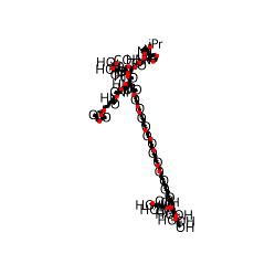 CC(C)Cn1cnc2c(NC(=O)OCc3ccc(O[C@@H]4O[C@H](C(=O)O)[C@@H](O)[C@H](O)[C@H]4O)c(NC(=O)C(CNC(=O)CCOCCOCCOCCOCCOCCOCCOCCOCCOCCOCCOCCOCCN(C[C@H](O)[C@@H](O)[C@H](O)[C@H](O)CO)C[C@H](O)[C@@H](O)[C@H](O)[C@H](O)CO)NC(=O)CNC(=O)CNC(=O)CCCCCN4C(=O)C=CC4=O)c3)nc3ccccc3c21